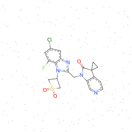 O=C1N(Cc2nc3cc(Cl)cc(F)c3n2C2CS(=O)(=O)C2)c2cnccc2C12CC2